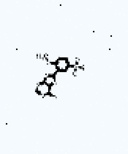 COc1ccc(S(C)(=O)=O)cc1C1=NC2=NC=NC(=O)C2=N1